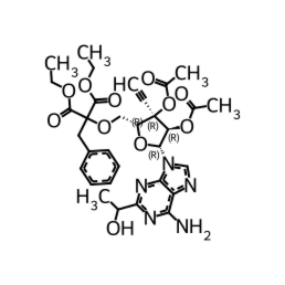 C#C[C@@]1(OC(C)=O)[C@@H](COC(Cc2ccccc2)(C(=O)OCC)C(=O)OCC)O[C@@H](n2cnc3c(N)nc(C(C)O)nc32)[C@@H]1OC(C)=O